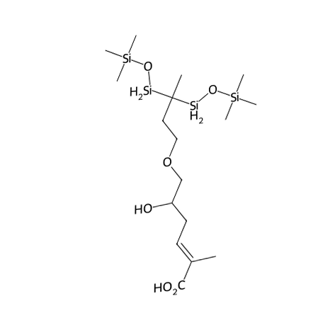 CC(=CCC(O)COCCC(C)([SiH2]O[Si](C)(C)C)[SiH2]O[Si](C)(C)C)C(=O)O